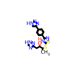 CC(Sc1nc(-c2ccc(-c3c[nH]nn3)cc2)ns1)C(O)Cc1nc[nH]n1